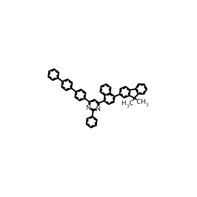 CC1(C)c2ccccc2-c2ccc(-c3ccc(-c4cc(-c5ccc(-c6ccc(-c7ccccc7)cc6)cc5)nc(-c5ccccc5)n4)c4ccccc34)cc21